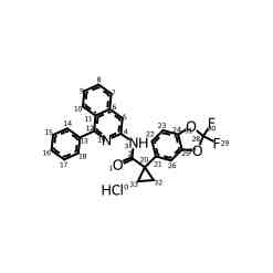 Cl.O=C(Nc1cc2ccccc2c(-c2ccccc2)n1)C1(c2ccc3c(c2)OC(F)(F)O3)CC1